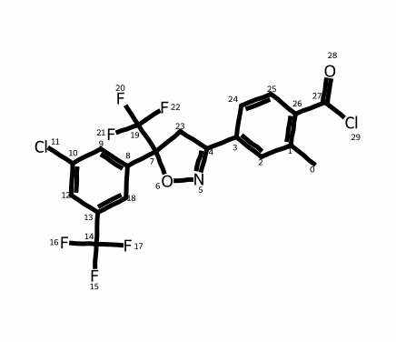 Cc1cc(C2=NOC(c3cc(Cl)cc(C(F)(F)F)c3)(C(F)(F)F)C2)ccc1C(=O)Cl